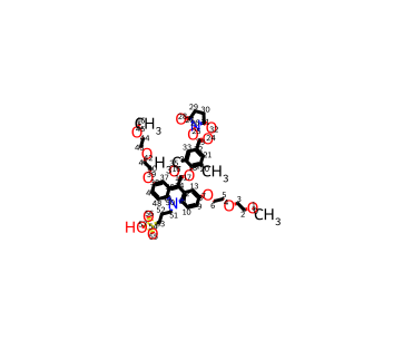 COCCOCCOc1ccc2c(c1)c(C(=O)Oc1c(C)cc(C(=O)ON3C(=O)CCC3=O)cc1C)c1cc(OCCOCCOC)ccc1[n+]2CCCS(=O)(=O)O